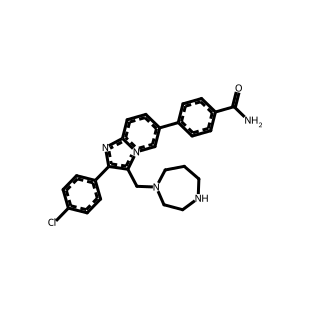 NC(=O)c1ccc(-c2ccc3nc(-c4ccc(Cl)cc4)c(CN4CCCNCC4)n3c2)cc1